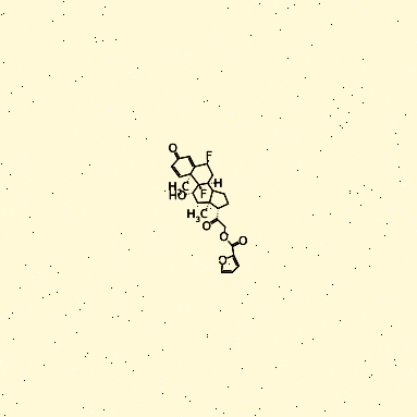 C[C@]12C[C@H](O)[C@@]3(F)[C@@H](C[C@H](F)C4=CC(=O)C=C[C@@]43C)C1CC[C@@H]2C(=O)COC(=O)c1ccco1